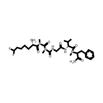 CC(C)[C@@H](NC(=O)CNC(=O)N(C)C(=O)N(C)C(=O)[C@@H](N)CCCCC(F)F)C(=O)N(C)C(Cc1ccccc1)C(N)=O